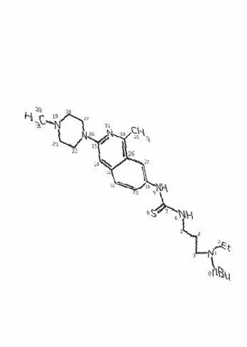 CCCCN(CC)CCCNC(=S)Nc1ccc2cc(N3CCN(C)CC3)nc(C)c2c1